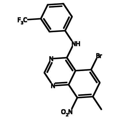 Cc1cc(Br)c2c(Nc3cccc(C(F)(F)F)c3)ncnc2c1[N+](=O)[O-]